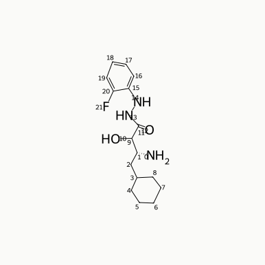 N[C@H](CC1CCCCC1)C(O)C(=O)NNc1ccccc1F